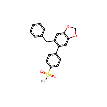 CS(=O)(=O)c1ccc(-c2cc3c(cc2Cc2ccccc2)OCO3)cc1